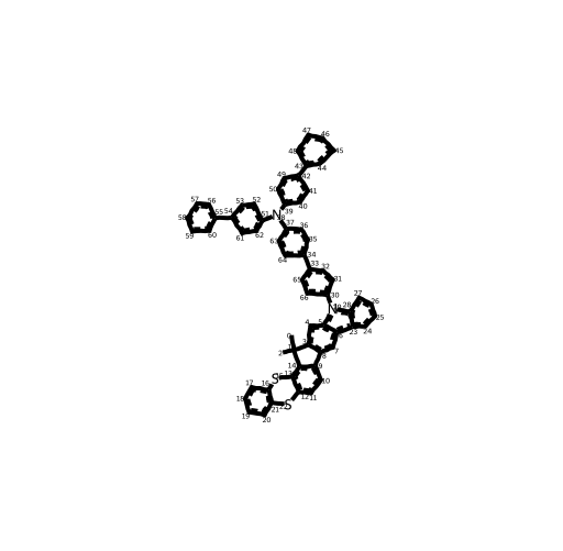 CC1(C)c2cc3c(cc2-c2ccc4c(c21)Sc1ccccc1S4)c1ccccc1n3-c1ccc(-c2ccc(N(c3ccc(-c4ccccc4)cc3)c3ccc(-c4ccccc4)cc3)cc2)cc1